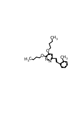 CCCCOc1cc(/C=C/c2ccccc2C)nnc1OCCCC